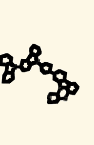 c1ccc2c(c1)Sc1cccc3c4ccc(-c5ccc(-n6c7ccccc7c7cc(-n8c9ccccc9c9ccccc98)ccc76)cc5)cc4n-2c13